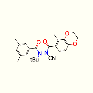 Cc1cc(C)cc(C(=O)N(N(C#N)C(=O)c2ccc3c(c2C)OCCO3)C(C)(C)C)c1